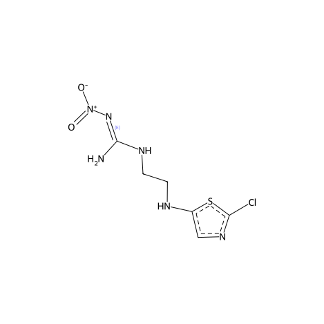 N/C(=N\[N+](=O)[O-])NCCNc1cnc(Cl)s1